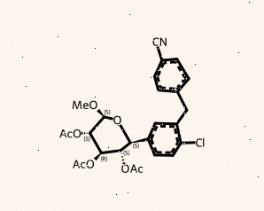 CO[C@H]1O[C@@H](c2ccc(Cl)c(Cc3ccc(C#N)cc3)c2)[C@H](OC(C)=O)[C@@H](OC(C)=O)[C@@H]1OC(C)=O